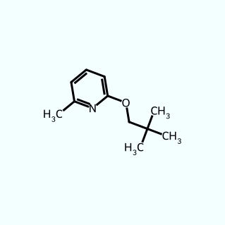 Cc1cccc(OCC(C)(C)C)n1